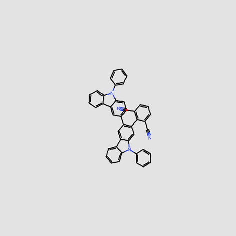 N#Cc1cccc(C#N)c1-c1cc2c(cc1-c1ccc3c(c1)c1ccccc1n3-c1ccccc1)c1ccccc1n2-c1ccccc1